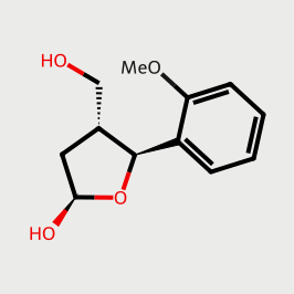 COc1ccccc1[C@H]1O[C@@H](O)C[C@@H]1CO